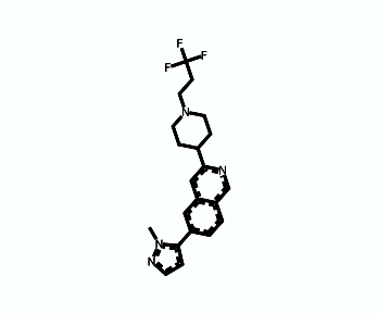 Cn1nccc1-c1ccc2cnc(C3CCN(CCC(F)(F)F)CC3)cc2c1